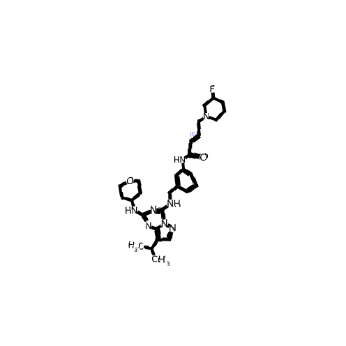 CC(C)c1cnn2c(NCc3cccc(NC(=O)/C=C/CN4CCCC(F)C4)c3)nc(NC3CCOCC3)nc12